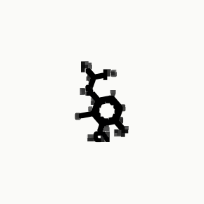 Cc1c(SC(F)F)ccc(F)c1C#N